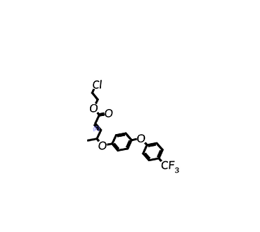 CC(/C=C/C(=O)OCCCl)Oc1ccc(Oc2ccc(C(F)(F)F)cc2)cc1